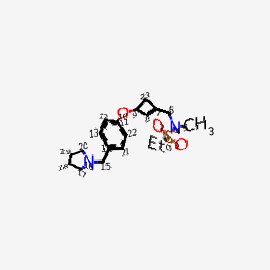 CCS(=O)(=O)N(C)CC1CC(Oc2ccc(CN3CCCC3)cc2)C1